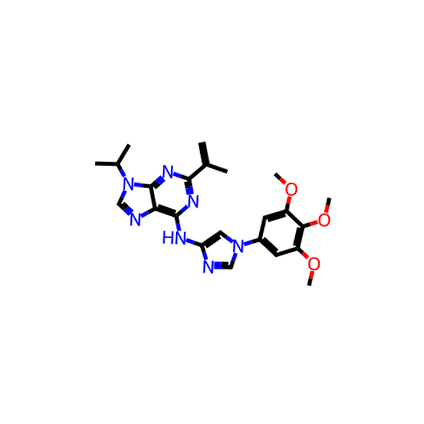 C=C(C)c1nc(Nc2cn(-c3cc(OC)c(OC)c(OC)c3)cn2)c2ncn(C(C)C)c2n1